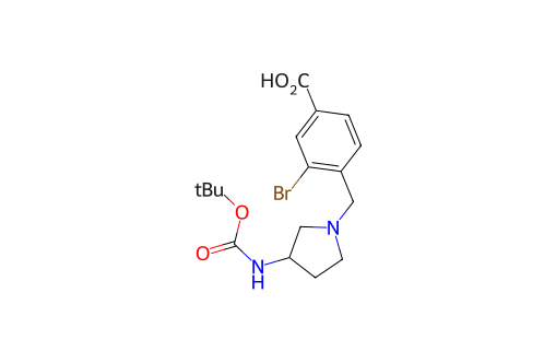 CC(C)(C)OC(=O)NC1CCN(Cc2ccc(C(=O)O)cc2Br)C1